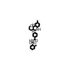 Cc1ccc2c(c1)[C@@H]1OCCC[C@@H]1[C@@H](c1ccc(C(=O)NS(=O)(=O)c3ccccc3C)cc1)N2